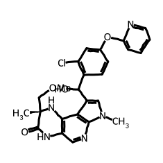 COC[C@]1(C)Nc2c(cnc3c2c(C(O)c2ccc(Oc4ccccn4)cc2Cl)cn3C)NC1=O